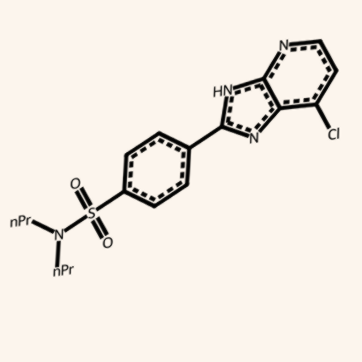 CCCN(CCC)S(=O)(=O)c1ccc(-c2nc3c(Cl)ccnc3[nH]2)cc1